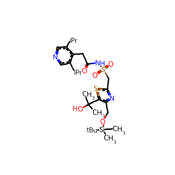 CC(C)c1cncc(C(C)C)c1CC(=O)NS(=O)(=O)Cc1nc(CO[Si](C)(C)C(C)(C)C)c(C(C)(C)O)s1